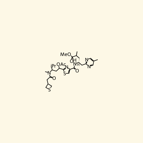 COC(=O)C(C)C[C@H](Cc1ncc(C)cn1)NC(=O)c1csc(C(CC(C(C)C)N(C)C(=O)CC2CSC2)OC(C)=O)n1